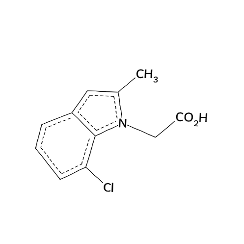 Cc1cc2cccc(Cl)c2n1CC(=O)O